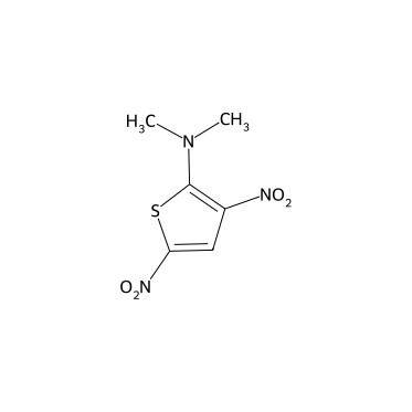 CN(C)c1sc([N+](=O)[O-])cc1[N+](=O)[O-]